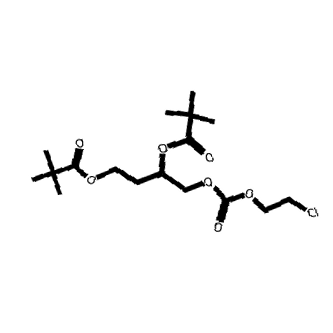 CC(C)(C)C(=O)OCCC(COC(=O)OCCCl)OC(=O)C(C)(C)C